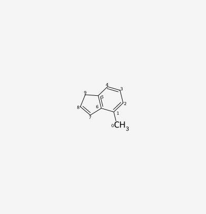 Cc1cc[c]c2c1C=CC2